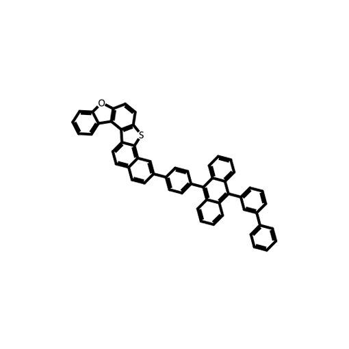 c1ccc(-c2cccc(-c3c4ccccc4c(-c4ccc(-c5ccc6ccc7c(sc8ccc9oc%10ccccc%10c9c87)c6c5)cc4)c4ccccc34)c2)cc1